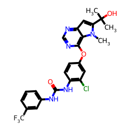 Cn1c(C(C)(C)O)cc2ncnc(Oc3ccc(NC(=O)Nc4cccc(C(F)(F)F)c4)c(Cl)c3)c21